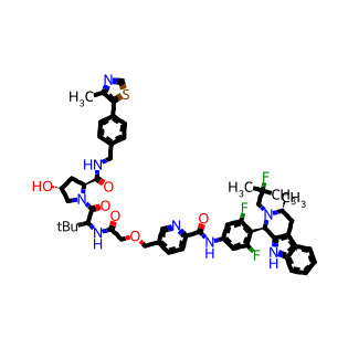 Cc1ncsc1-c1ccc(CNC(=O)[C@@H]2C[C@@H](O)CN2C(=O)C(NC(=O)COCc2ccc(C(=O)Nc3cc(F)c([C@@H]4c5[nH]c6ccccc6c5C[C@@H](C)N4CC(C)(C)F)c(F)c3)nc2)C(C)(C)C)cc1